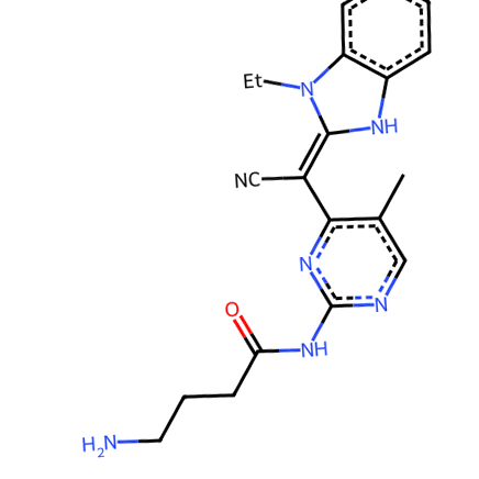 CCN1C(=C(C#N)c2nc(NC(=O)CCCN)ncc2C)Nc2ccccc21